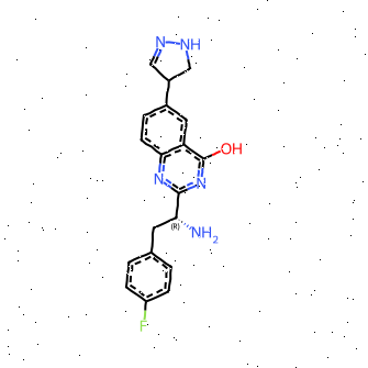 N[C@H](Cc1ccc(F)cc1)c1nc(O)c2cc(C3C=NNC3)ccc2n1